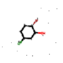 OC1CC(Cl)CC[C@@H]1Br